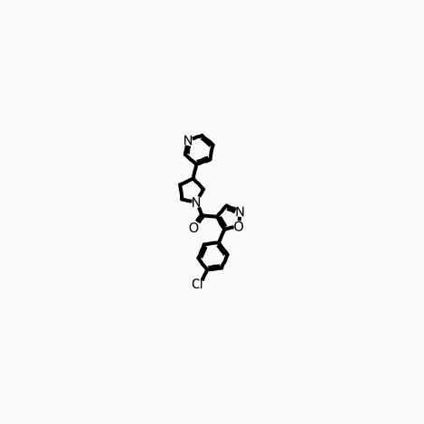 O=C(c1cnoc1-c1ccc(Cl)cc1)N1CCC(c2cccnc2)C1